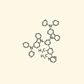 Cc1c(-c2cc(-n3c4ccccc4c4cc(N(c5ccccc5)c5ccccc5)ccc43)cc(-n3c4ccccc4c4cc(N(c5ccccc5)c5ccccc5)ccc43)c2)ccc(-c2ncccn2)c1C